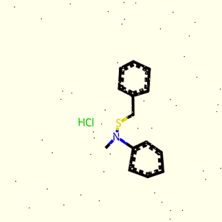 CN(SCc1ccccc1)c1ccccc1.Cl